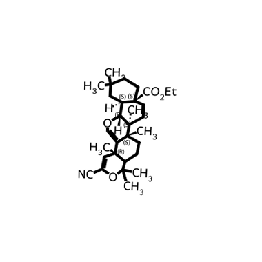 CCOC(=O)[C@]12CCC(C)(C)C[C@@H]1[C@H]1OC=C3[C@@]4(C)C=C(C#N)OC(C)(C)C4CC[C@@]3(C)[C@]1(C)CC2